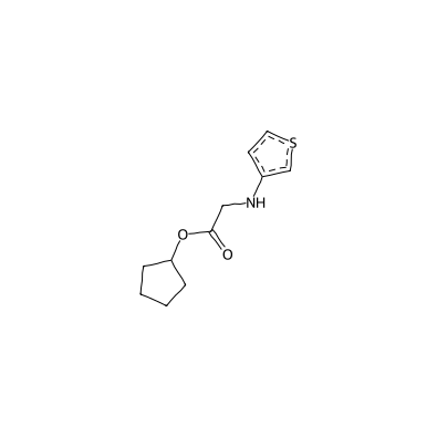 O=C(CNc1ccsc1)OC1CCCC1